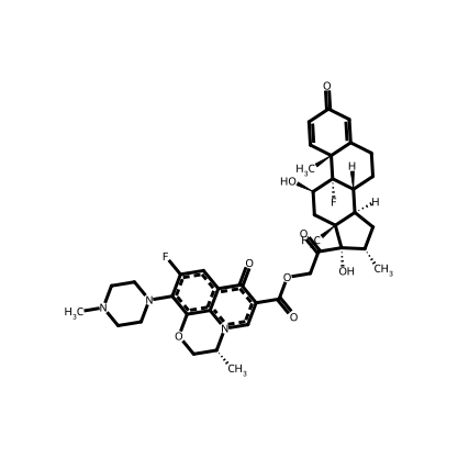 C[C@@H]1COc2c(N3CCN(C)CC3)c(F)cc3c(=O)c(C(=O)OCC(=O)[C@]4(O)[C@@H](C)C[C@@H]5[C@H]6CCC7=CC(=O)C=C[C@@]7(C)[C@]6(F)[C@H](O)C[C@]54C)cn1c23